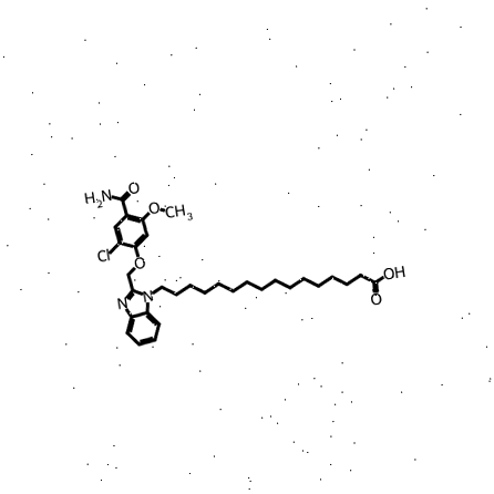 COc1cc(OCc2nc3ccccc3n2CCCCCCCCCCCCCCCC(=O)O)c(Cl)cc1C(N)=O